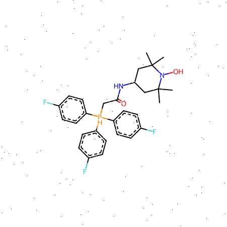 CC1(C)CC(NC(=O)C[PH](c2ccc(F)cc2)(c2ccc(F)cc2)c2ccc(F)cc2)CC(C)(C)N1O